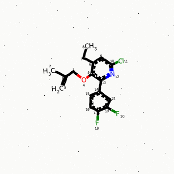 C=C(C)COc1c(CC)cc(Cl)nc1-c1ccc(F)c(F)c1